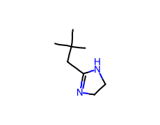 CC(C)(C)CC1=NCCN1